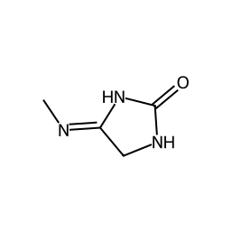 CN=C1CNC(=O)N1